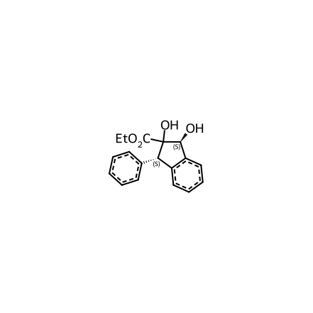 CCOC(=O)C1(O)[C@@H](c2ccccc2)c2ccccc2[C@@H]1O